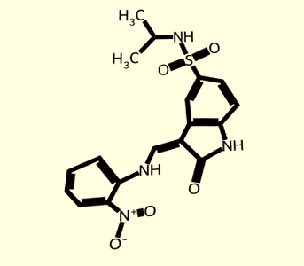 CC(C)NS(=O)(=O)c1ccc2c(c1)C(=CNc1ccccc1[N+](=O)[O-])C(=O)N2